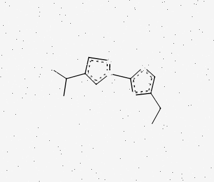 CCc1cnc(-n2cc(C(C)C)cn2)s1